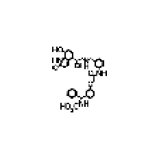 O=C(O)N[C@@H](c1ccccc1)c1cccc(OCC(=O)Nc2cccc(CNCC(O)c3ccc(O)c4[nH]c(=O)ccc34)c2)c1